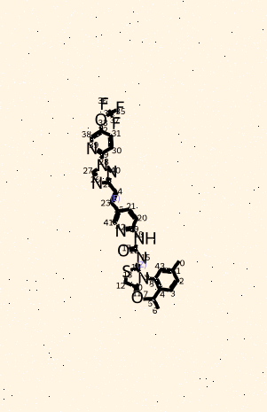 Cc1ccc(C(C)C)c(N2C(=O)CS/C2=N\C(=O)Nc2ccc(/C=C/c3ncn(-c4ccc(OC(F)(F)F)cn4)n3)cn2)c1